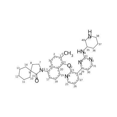 Cc1ccc2c(N3CCC4(CCCCC4)C3=O)cccc2c1Oc1ncccc1-c1ccnc(NC2CCCNC2)n1